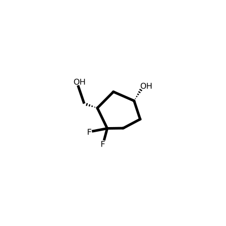 OC[C@@H]1C[C@H](O)CCC1(F)F